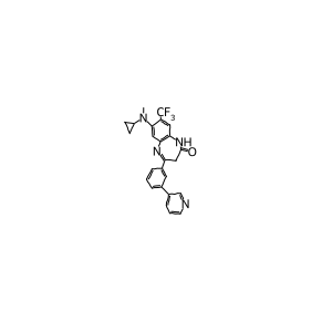 CN(c1cc2c(cc1C(F)(F)F)NC(=O)CC(c1cccc(-c3cccnc3)c1)=N2)C1CC1